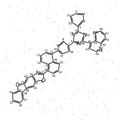 c1ccc(-c2nc(-c3ccc(-c4cccc5c(-c6nc7cc8oc9ccccc9c8cc7o6)cccc45)cc3)nc(-c3ccnc4cccnc34)n2)cc1